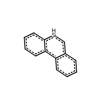 c1ccc2c(c1)c[siH]c1ccccc12